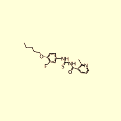 CCCCCOc1ccc(NC(=S)NC(=O)c2cccnc2C)cc1F